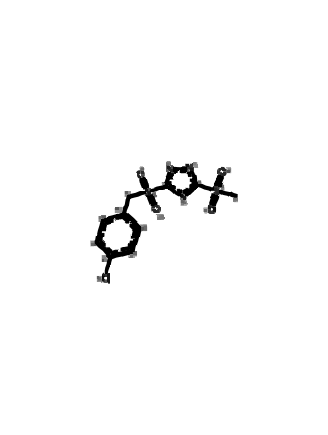 CS(=O)(=O)c1nnc(S(=O)(=O)Cc2ccc(Cl)cc2)s1